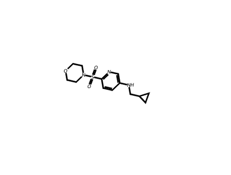 O=S(=O)(c1ccc(NCC2CC2)cn1)N1CCOCC1